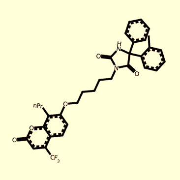 CCCc1c(OCCCCCN2C(=O)NC(c3ccccc3)(c3ccccc3C)C2=O)ccc2c(C(F)(F)F)cc(=O)oc12